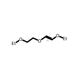 CCO/C=C/OCCOCC